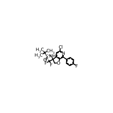 CC(C)(C)[S@@+]([O-])NC1(C(F)(F)F)COc2c1cc(Cl)nc2-c1ccc(F)cc1